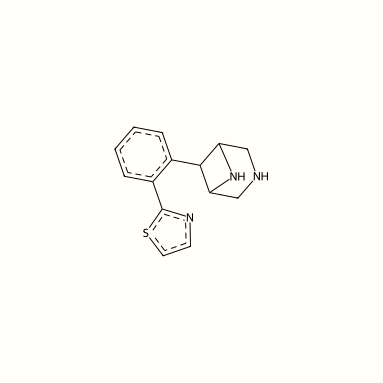 c1ccc(C2C3CNCC2N3)c(-c2nccs2)c1